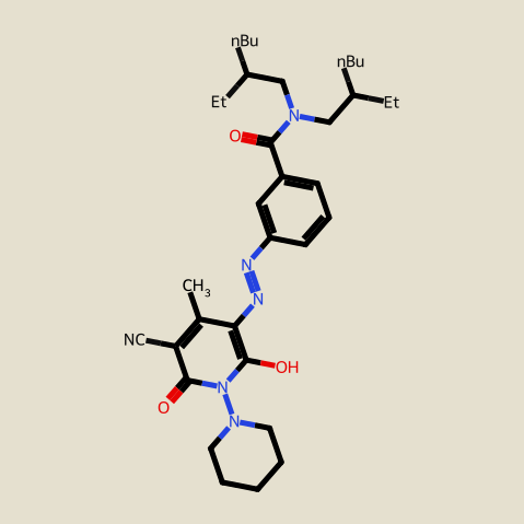 CCCCC(CC)CN(CC(CC)CCCC)C(=O)c1cccc(/N=N/c2c(C)c(C#N)c(=O)n(N3CCCCC3)c2O)c1